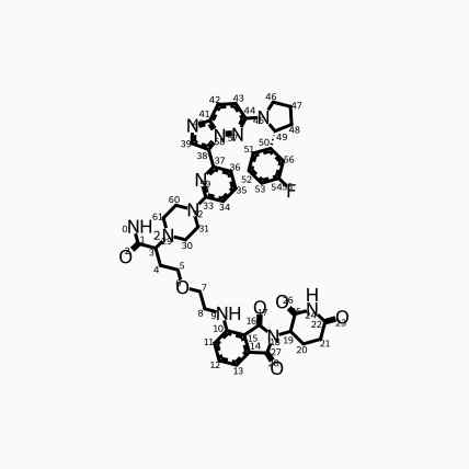 NC(=O)C(CCOCCNc1cccc2c1C(=O)N(C1CCC(=O)NC1=O)C2=O)N1CCN(c2cccc(-c3cnc4ccc(N5CCC[C@@H]5c5cccc(F)c5)nn34)n2)CC1